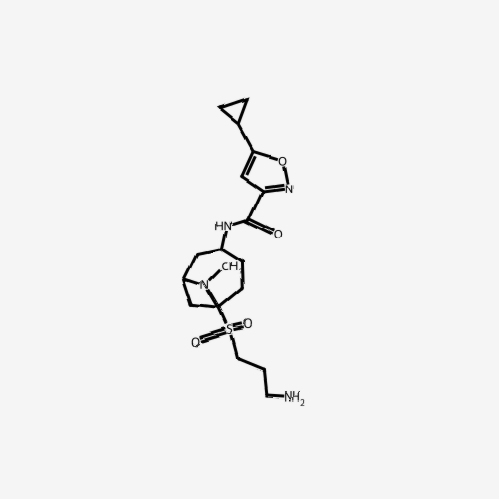 CN1C2CC(NC(=O)c3cc(C4CC4)on3)CCC1(S(=O)(=O)CCCN)C2